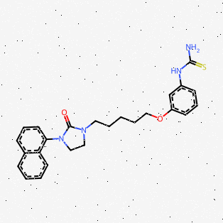 NC(=S)Nc1cccc(OCCCCCN2CCN(c3cccc4ccccc34)C2=O)c1